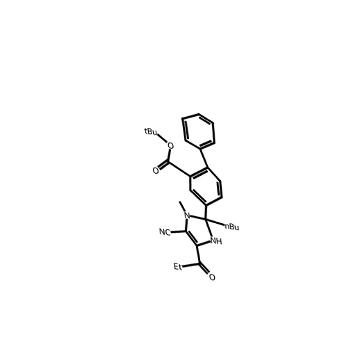 CCCCC1(c2ccc(-c3ccccc3)c(C(=O)OC(C)(C)C)c2)NC(C(=O)CC)=C(C#N)N1C